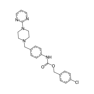 O=C(Nc1ccc(CN2CCN(c3ncccn3)CC2)cc1)OCc1ccc(Cl)cc1